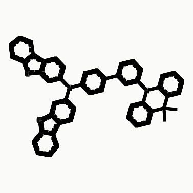 CC1(C)c2ccccc2N(c2cccc(-c3ccc(N(c4ccc5c(c4)oc4ccccc45)c4ccc5c(c4)oc4ccccc45)cc3)c2)c2ccccc21